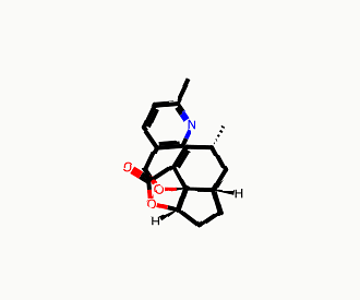 Cc1ccc(CO[C@@]23C4=C[C@H](C)C[C@@H]2CC[C@@H]3OC4=O)cn1